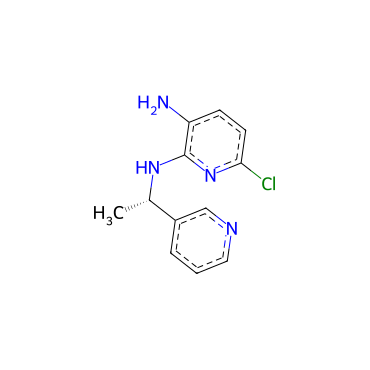 C[C@H](Nc1nc(Cl)ccc1N)c1cccnc1